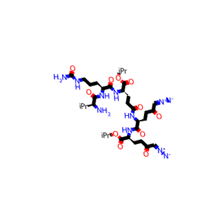 CC(C)OC(=O)[C@H](CCC(=O)C=[N+]=[N-])NC(=O)[C@H](CCC(=O)C=[N+]=[N-])NC(=O)CC[C@H](NC(=O)[C@H](CCCNC(N)=O)NC(=O)[C@@H](N)C(C)C)C(=O)OC(C)C